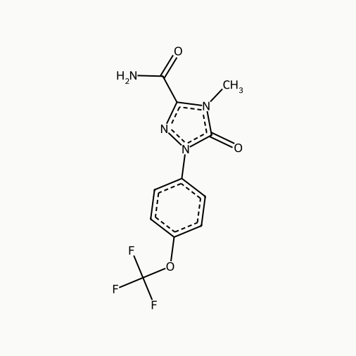 Cn1c(C(N)=O)nn(-c2ccc(OC(F)(F)F)cc2)c1=O